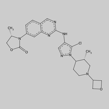 C[C@@H]1CN(C2COC2)CCC1n1ncc(Nc2ncc3ccc(N4C(=O)OC[C@@H]4C)cc3n2)c1Cl